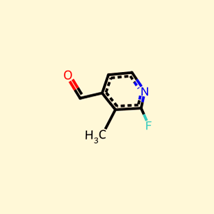 Cc1c(C=O)ccnc1F